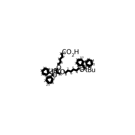 CC(C)(C)[Si](OCCCCCCOCC(COCCCCCC(=O)O)O[Si](c1ccccc1)(c1ccccc1)C(C)(C)C)(c1ccccc1)c1ccccc1